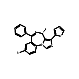 C[C@@H]1N=C(c2ccccc2)c2cc(Br)ccc2-n2cnc(-c3ccco3)c21